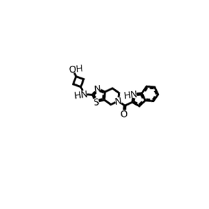 O=C(c1cc2ccccc2[nH]1)N1CCc2nc(NC3CC(O)C3)sc2C1